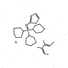 C1=CCC(N=P(C2CCCCC2)(C2CCCCC2)C2CCCCC2)=C1.CC=C(C)C(C)=CC.[Ti]